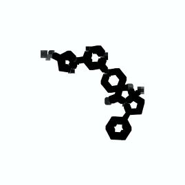 Cc1cnn(-c2cc(N3CCC4(CC3)O[C@@H]3CC[C@@H](c5ccccc5)N3C4=O)ncn2)c1